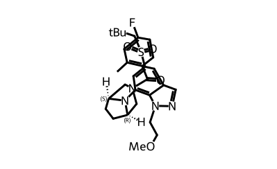 COCCn1ncc2cc(S(=O)(=O)CC(C)(C)C)cc(N3[C@@H]4CC[C@H]3CN(C(=O)c3ccc(F)cc3C)C4)c21